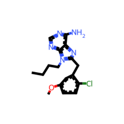 CCCCn1c(Cc2cc(OC)ccc2Cl)nc2c(N)ncnc21